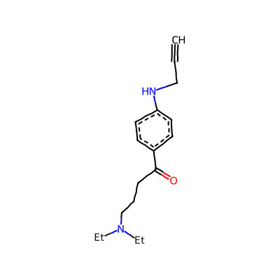 C#CCNc1ccc(C(=O)CCCN(CC)CC)cc1